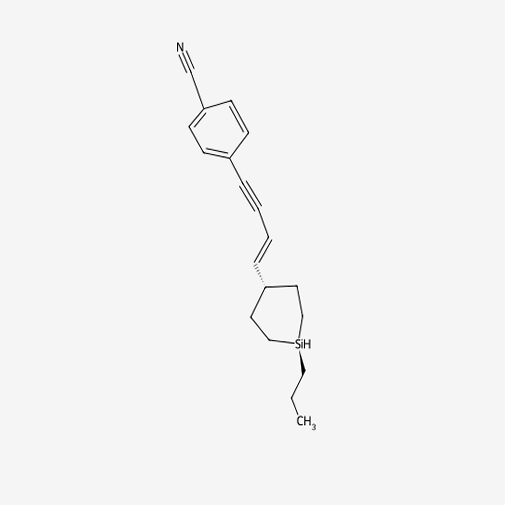 CCC[Si@H]1CC[C@H](/C=C/C#Cc2ccc(C#N)cc2)CC1